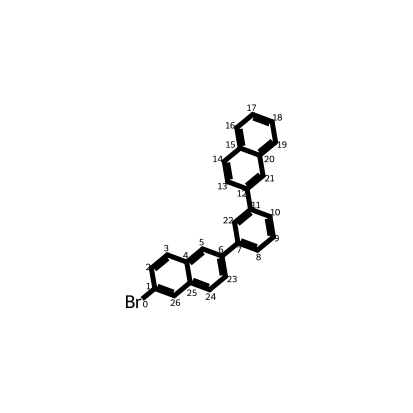 Brc1ccc2cc(-c3cccc(-c4ccc5ccccc5c4)c3)ccc2c1